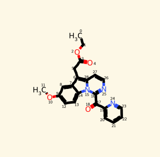 CCOC(=O)Cc1c2cc(OC)ccc2n2c(C(=O)c3ccccn3)nccc12